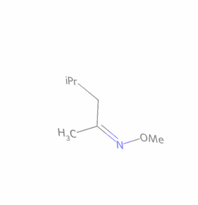 CON=C(C)CC(C)C